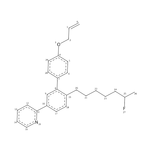 C=CCOc1ccc(-c2cc(-c3ccccn3)ccc2CCCCCC(C)F)cc1